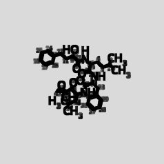 CC(C)CC[C@H](NC(=O)[C@@H](O)CCc1ccccc1)C(=O)N[C@@H](Cc1ccccc1)C(=O)NC(CC(C)C)C(=O)[C@@]1(C)CO1